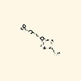 CC(C)[C@@H]1NC(=O)[C@@H](Cc2ccc(OCCCNC(=O)c3ccc(N/N=C/c4ccccc4S(=O)(=O)O)nc3)cc2)NC(=O)[C@H](CC(=O)O)NC(=O)CNC(=O)[C@H](CCCNC(=N)NC(=O)C(F)(F)F)NC1=O